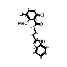 COc1c(Cl)ccc(Cl)c1C(=O)NCCc1nc2ccccc2[nH]1